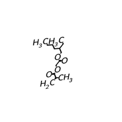 C=C(C)C(=O)OCC(=O)OCC(CC)CCCC